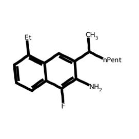 CCCCCC(C)c1cc2c(CC)cccc2c(F)c1N